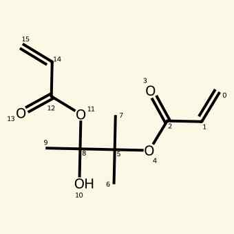 C=CC(=O)OC(C)(C)C(C)(O)OC(=O)C=C